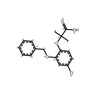 CC(C)(Oc1ccc(Cl)cc1OCc1ccccc1)C(=O)O